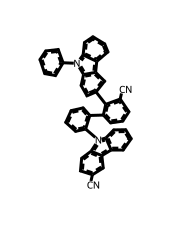 N#Cc1ccc2c(c1)c1ccccc1n2-c1ccccc1-c1cccc(C#N)c1-c1ccc2c(c1)c1ccccc1n2-c1ccccc1